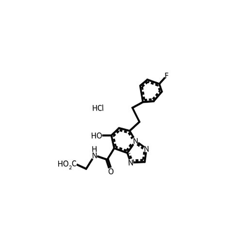 Cl.O=C(O)CNC(=O)c1c(O)cc(CCc2ccc(F)cc2)n2ncnc12